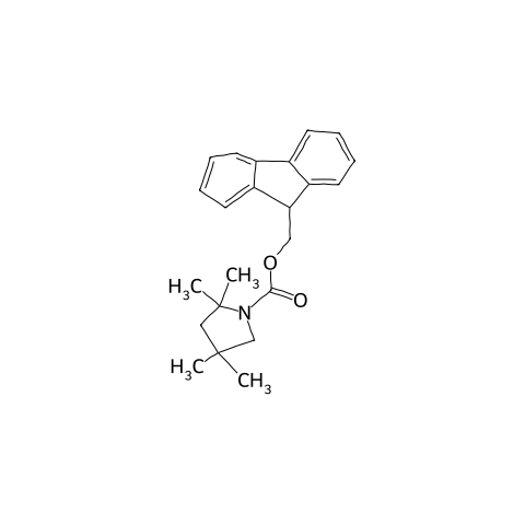 CC1(C)CN(C(=O)OCC2c3ccccc3-c3ccccc32)C(C)(C)C1